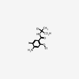 CCOc1cc(N)c(I)cc1C(=O)NC(C)(CC)C(=O)O